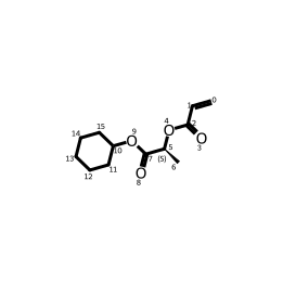 C=CC(=O)O[C@@H](C)C(=O)OC1CCCCC1